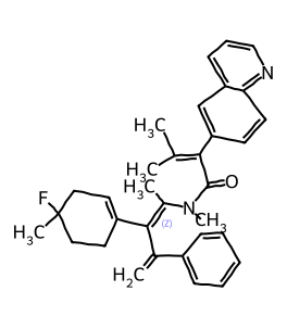 C=C(/C(C1=CCC(C)(F)CC1)=C(/C)N(C)C(=O)C(=C(C)C)c1ccc2ncccc2c1)c1ccccc1